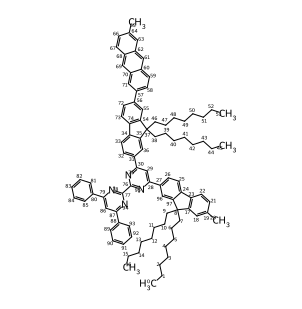 CCCCCCCCC1(CCCCCCCC)c2cc(C)ccc2-c2ccc(-c3cc(-c4ccc5c(c4)C(CCCCCCCC)(CCCCCCCC)c4cc(-c6ccc7cc8cc(C)ccc8cc7c6)ccc4-5)nc(-c4nc(-c5ccccc5)cc(-c5ccccc5)n4)n3)cc21